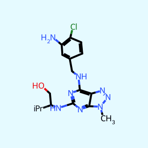 CC(C)C(CO)Nc1nc(NCc2ccc(Cl)c(N)c2)c2nnn(C)c2n1